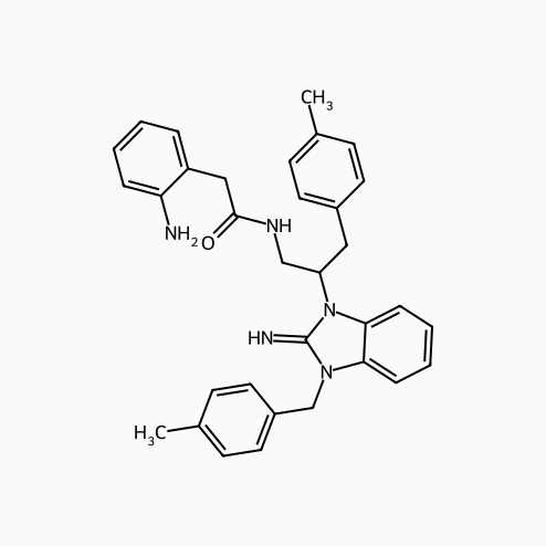 Cc1ccc(CC(CNC(=O)Cc2ccccc2N)n2c(=N)n(Cc3ccc(C)cc3)c3ccccc32)cc1